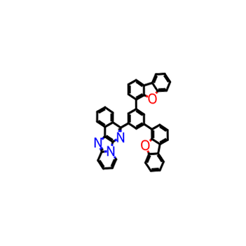 c1ccc2c(c1)oc1c(-c3cc(-c4nc5c(nc6ccccn65)c5ccccc45)cc(-c4cccc5c4oc4ccccc45)c3)cccc12